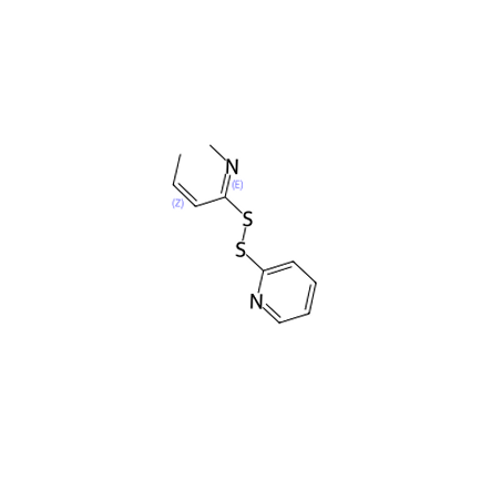 C/C=C\C(=N/C)SSc1ccccn1